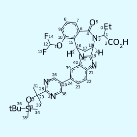 CCC(C(=O)O)N1C(=O)c2cccc(OC(F)F)c2[C@H]2C[C@@H]1c1nc3ccc(-c4cnc(C(C)(C)O[Si](C)(C)C(C)(C)C)nc4)cc3n12